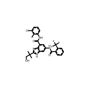 Cc1c(Cl)cccc1NC(=O)c1cc(NC(=O)c2ccccc2C(F)(F)F)cc2[nH]c(C(C)(C)CO)nc12